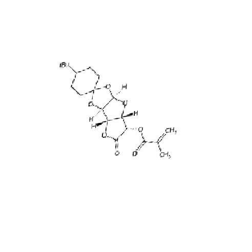 C=C(C)C(=O)O[C@@H]1C(=O)O[C@@H]2[C@H]3OC4(CCC(C(C)(C)C)CC4)O[C@H]3O[C@@H]21